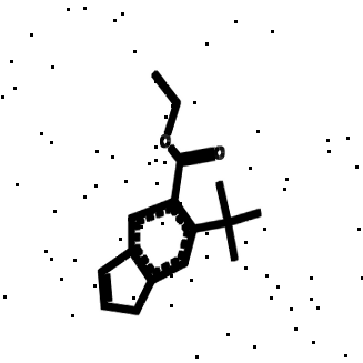 CCOC(=O)c1cc2c(cc1C(C)(C)C)CC=C2